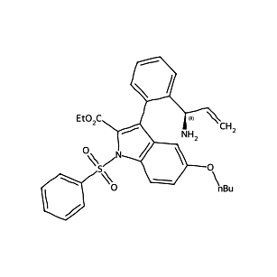 C=C[C@@H](N)c1ccccc1-c1c(C(=O)OCC)n(S(=O)(=O)c2ccccc2)c2ccc(OCCCC)cc12